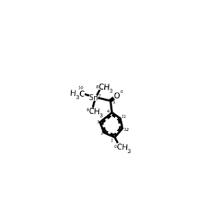 Cc1ccc([C](=O)[Sn]([CH3])([CH3])[CH3])cc1